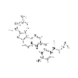 C[C@@H]1CNc2c(oc3ccc4nc(Oc5nc(Cl)ncc5C(=O)NC5CC5)ccc4c23)C(=O)N1